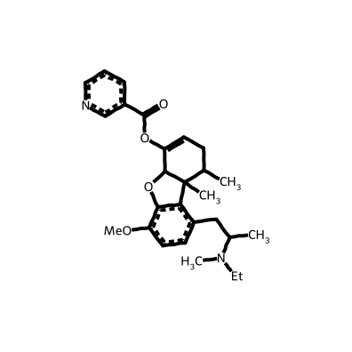 CCN(C)C(C)Cc1ccc(OC)c2c1C1(C)C(C)CC=C(OC(=O)c3cccnc3)C1O2